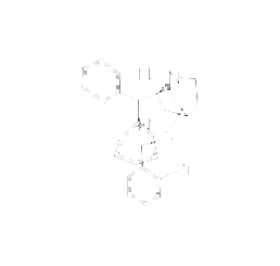 Brc1ccccc1CO[C@@H]1C2CCN(CC2)[C@@H]1C(c1ccccc1)c1ccccc1